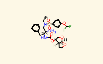 CC(C)CN(C[C@@H](N)[C@H](Cc1ccccc1)NC(=O)O[C@H]1CO[C@H]2OCC[C@H]21)S(=O)(=O)c1ccc(OC(F)F)cc1